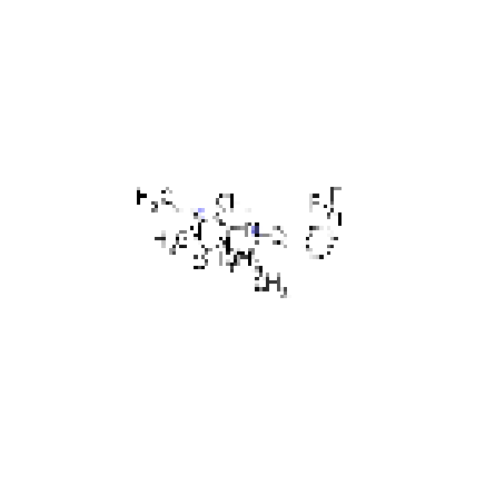 CC/C=C1C(C)=C(/N=C(/OCc2cccc(C(F)(F)F)c2)C(C)CC)N(C)C(=O)N/1C